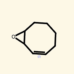 C1=C\C2OC2CCCC/1